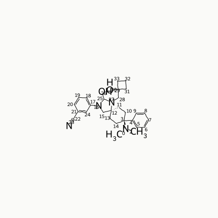 CN(C)[C@]1(c2ccccc2)CC[C@]2(CC1)CN(c1cccc(C#N)c1)C(O)N2CC1(O)CCC1